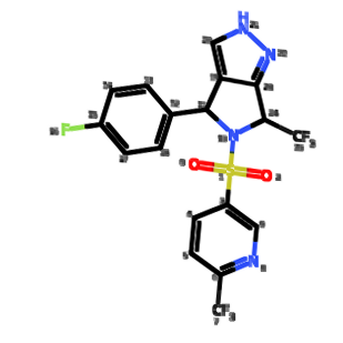 O=S(=O)(c1ccc(C(F)(F)F)nc1)N1C(c2ccc(F)cc2)c2c[nH]nc2C1C(F)(F)F